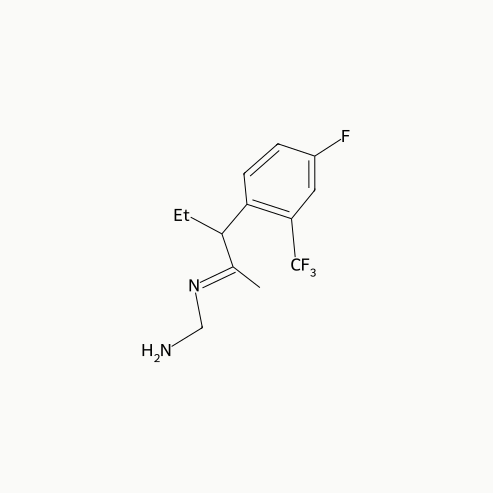 CCC(/C(C)=N/CN)c1ccc(F)cc1C(F)(F)F